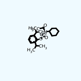 CC(=O)N(C1CCCCC1)S(=O)(=O)Oc1c(C(C)C)cccc1C(C)C